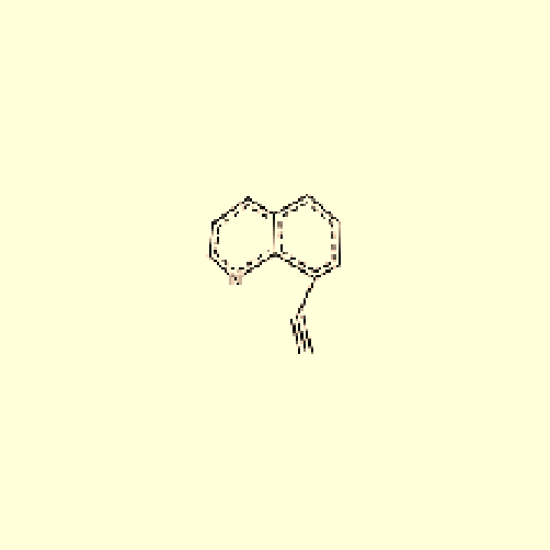 [C]#Cc1cccc2cccnc12